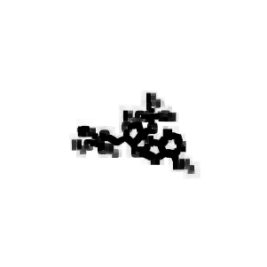 CC(C)(C)[Si](C)(C)OC[C@H]1OCC(O[Si](C)(C)C(C)(C)C)(n2cnc3c(N)ncnc32)C1O